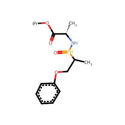 CC(C)OC(=O)[C@H](C)N[PH](=O)C(C)COc1ccccc1